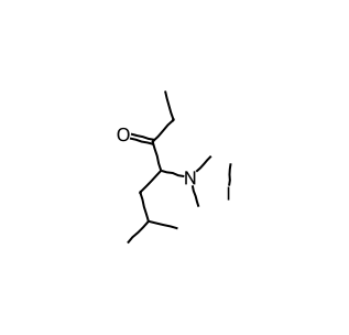 CCC(=O)C(CC(C)C)N(C)C.CI